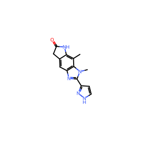 Cc1c2c(cc3nc(-c4cc[nH]n4)n(C)c13)CC(=O)N2